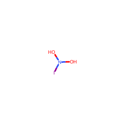 ON(O)I